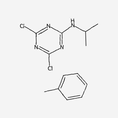 CC(C)Nc1nc(Cl)nc(Cl)n1.Cc1ccccc1